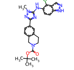 Cn1nc(-c2ccc3c(c2)CCN(C(=O)OC(C)(C)C)C3)nc1Nc1ccc2[nH]ncc2c1Cl